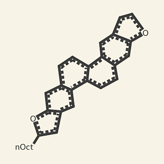 CCCCCCCCc1cc2cc3c(ccc4c5cc6ccoc6cc5ccc34)cc2o1